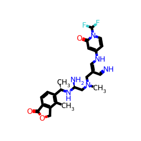 Cc1c([C@H](C)N[C@@H](N)CN(C)C/C(C=N)=C/Nc2ccn(C(F)F)c(=O)c2)ccc2c1COC2=O